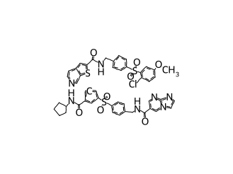 COc1ccc(Cl)c(S(=O)(=O)c2ccc(CNC(=O)c3cc4ccncc4s3)cc2)c1.O=C(NCc1ccc(S(=O)(=O)c2cccc(C(=O)NC3CCCC3)c2)cc1)c1cnc2nccn2c1